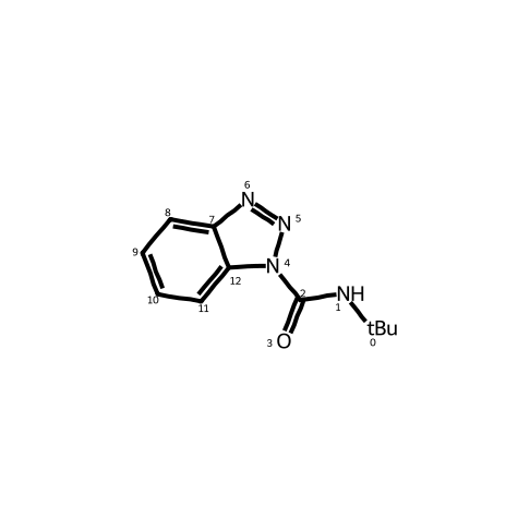 CC(C)(C)NC(=O)n1nnc2ccccc21